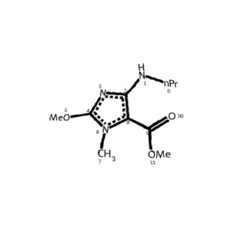 CCCNc1nc(OC)n(C)c1C(=O)OC